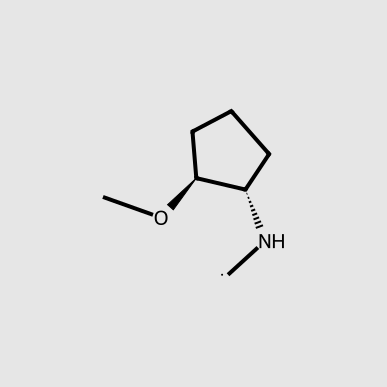 [CH2]N[C@H]1CCC[C@@H]1OC